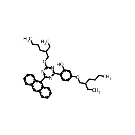 CCCCC(CC)COc1ccc(-c2nc(OCC(CC)CCCC)nc(-c3c4ccccc4cc4ccccc34)n2)c(O)c1